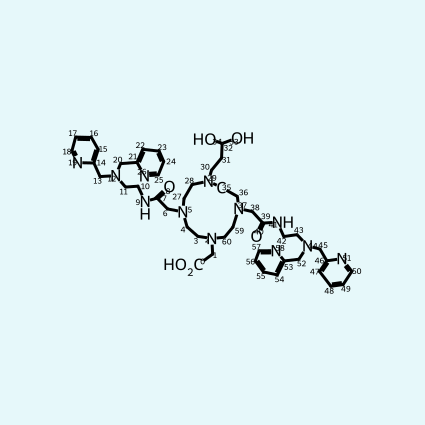 O=C(O)CN1CCN(CC(=O)NCCN(Cc2ccccn2)Cc2ccccn2)CCN(CCC(O)O)CCN(CC(=O)NCCN(Cc2ccccn2)Cc2ccccn2)CC1